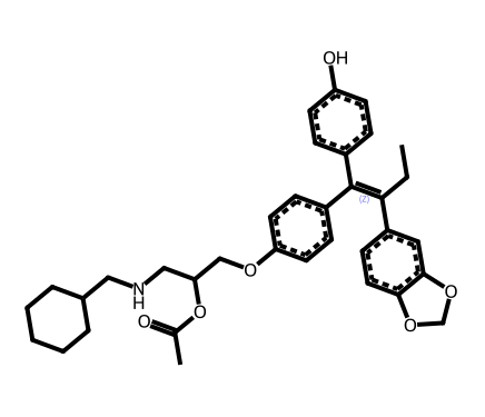 CC/C(=C(\c1ccc(O)cc1)c1ccc(OCC(CNCC2CCCCC2)OC(C)=O)cc1)c1ccc2c(c1)OCO2